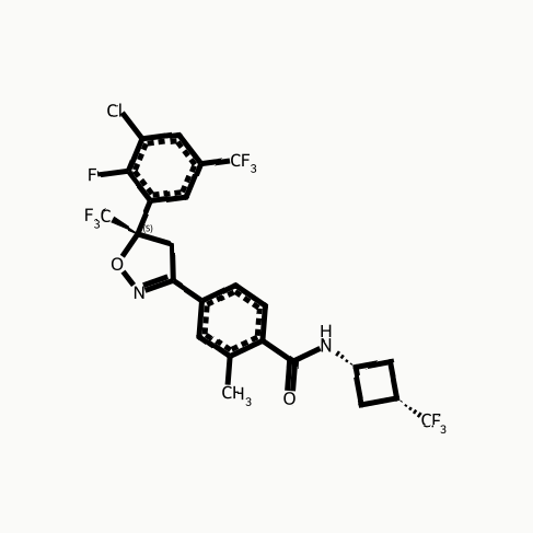 Cc1cc(C2=NO[C@@](c3cc(C(F)(F)F)cc(Cl)c3F)(C(F)(F)F)C2)ccc1C(=O)N[C@H]1C[C@@H](C(F)(F)F)C1